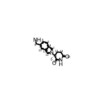 C[C@]1(n2cc3ccc(CN)cc3c2)CCC(=O)NC1=O